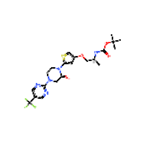 C[C@@H](COc1csc(N2CCN(c3ncc(C(F)(F)F)cn3)CC2=O)c1)NC(=O)OC(C)(C)C